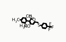 Cc1cc(C)c(-c2c(O)cc(CSc3ccc(C(F)(F)F)cc3)oc2=O)c(C)c1